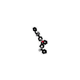 O=C(c1ccccc1)N1CCC(CCN2CCC(c3nc(Cc4ccccc4)no3)CC2)(c2ccccc2)CC1